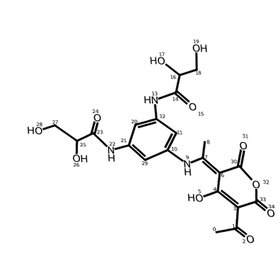 CC(=O)C1=C(O)C(=C(C)Nc2cc(NC(=O)C(O)CO)cc(NC(=O)C(O)CO)c2)C(=O)OC1=O